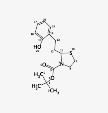 CC(C)(C)OC(=O)N1CCSC1CCc1ccccc1O